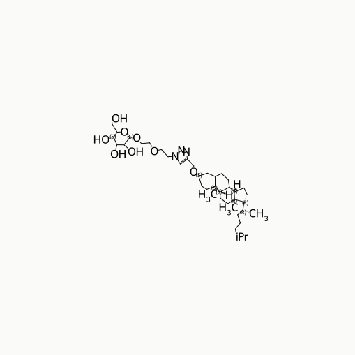 CC(C)CCC[C@@H](C)[C@H]1CC[C@H]2C3CCC4C[C@@H](OCc5cn(CCOCCO[C@H]6OC(CO)[C@@H](O)C(O)C6O)nn5)CC[C@]4(C)[C@H]3CC[C@]12C